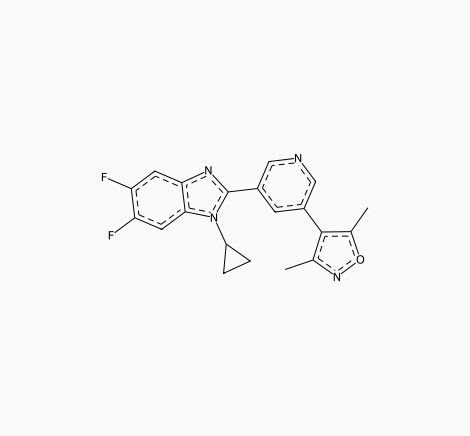 Cc1noc(C)c1-c1cncc(-c2nc3cc(F)c(F)cc3n2C2CC2)c1